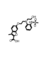 Cc1c(C(=O)O)oc2cc(OCCN(CCO)c3ccccc3NS(C)(=O)=O)ccc12